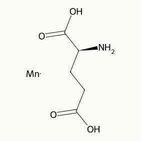 N[C@@H](CCC(=O)O)C(=O)O.[Mn]